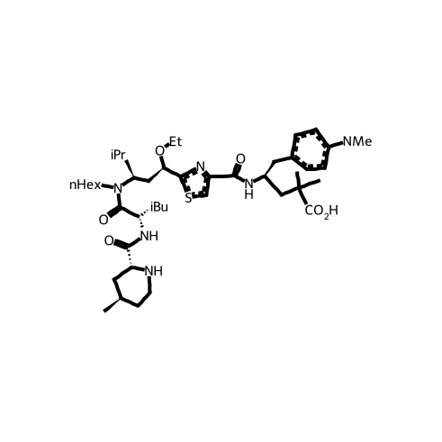 CCCCCCN(C(=O)[C@@H](NC(=O)[C@H]1C[C@H](C)CCN1)[C@@H](C)CC)[C@H](C[C@@H](OCC)c1nc(C(=O)N[C@@H](Cc2ccc(NC)cc2)CC(C)(C)C(=O)O)cs1)C(C)C